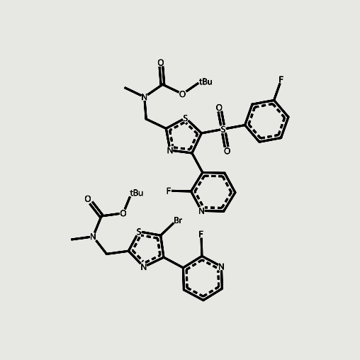 CN(Cc1nc(-c2cccnc2F)c(Br)s1)C(=O)OC(C)(C)C.CN(Cc1nc(-c2cccnc2F)c(S(=O)(=O)c2cccc(F)c2)s1)C(=O)OC(C)(C)C